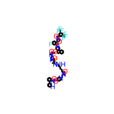 Cc1nc(NCCCCCC(=O)N(C)CCN2CCC(OC(=O)Nc3ccccc3-c3ccccc3)CC2)sc1C(=O)N(C)CCN(C)C(=O)CO[C@H]1Cc2ccccc2C12CCN(CC[C@@]1(c3ccc(F)cc3)CN(C(=O)c3cc(C(F)(F)F)cc(C(F)(F)F)c3)CO1)CC2